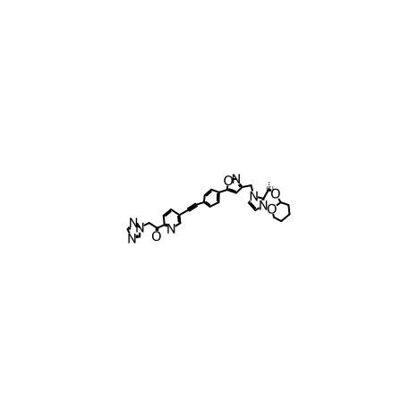 C[C@H](OC1CCCCO1)c1nccn1Cc1cc(-c2ccc(C#Cc3ccc(C(=O)Cn4cncn4)nc3)cc2)on1